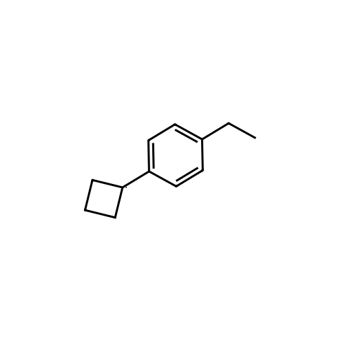 CCc1ccc([C]2CCC2)cc1